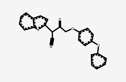 N#CC(C(=O)COc1ccc(Oc2ccccc2)cc1)c1ccc2ccccc2n1